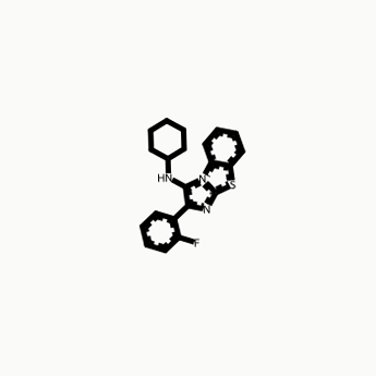 Fc1ccccc1-c1nc2sc3ccccc3n2c1NC1CCCCC1